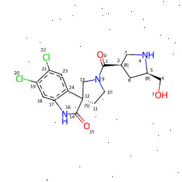 O=C([C@H]1CN[C@@H](CO)C1)N1CC[C@]2(C1)C(=O)Nc1cc(Cl)c(Cl)cc12